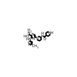 Cc1cc(Nc2nc(N3CCCC(NC(=O)C4CCNCC4)C3)cnc2C(N)O)sn1